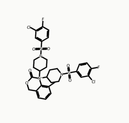 Cc1cccc2c1[N+](C1CCN(S(=O)(=O)c3ccc(F)c(Cl)c3)CC1)(C1CCN(S(=O)(=O)c3ccc(F)c(Cl)c3)CC1)C(=O)OC2